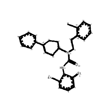 CCc1cccc(CC)c1NC(=O)N(CCc1ccccc1C)C1CCC(c2ccccc2)CC1